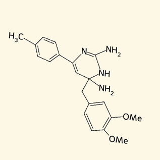 COc1ccc(CC2(N)C=C(c3ccc(C)cc3)N=C(N)N2)cc1OC